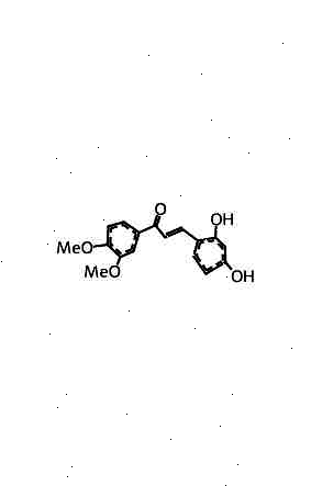 COc1ccc(C(=O)C=Cc2ccc(O)cc2O)cc1OC